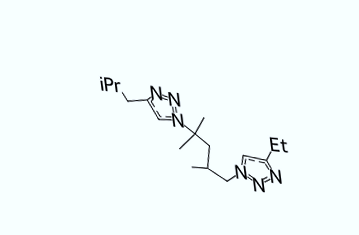 CCc1cn(CC(C)CC(C)(C)n2cc(CC(C)C)nn2)nn1